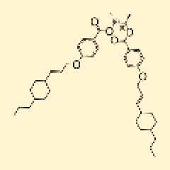 CCCC1CCC(C=CCOc2ccc(C(=O)O[C@H](C)[C@@H](C)OC(=O)c3ccc(OCC=CC4CCC(CCC)CC4)cc3)cc2)CC1